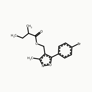 CCC(C)C(=O)OCc1c(C)noc1-c1ccc(Br)cc1